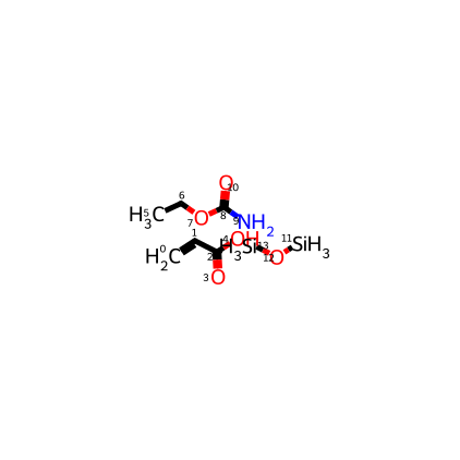 C=CC(=O)O.CCOC(N)=O.[SiH3]O[SiH3]